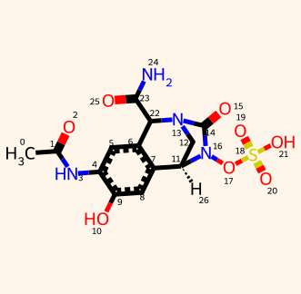 CC(=O)Nc1cc2c(cc1O)[C@H]1CN(C(=O)N1OS(=O)(=O)O)C2C(N)=O